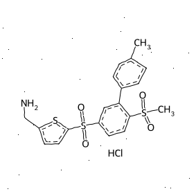 Cc1ccc(-c2cc(S(=O)(=O)c3ccc(CN)s3)ccc2S(C)(=O)=O)cc1.Cl